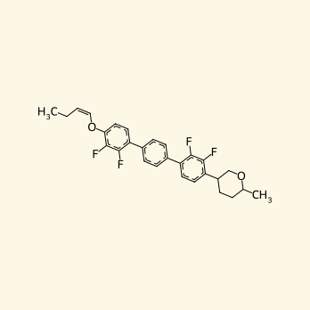 CC/C=C\Oc1ccc(-c2ccc(-c3ccc(C4CCC(C)OC4)c(F)c3F)cc2)c(F)c1F